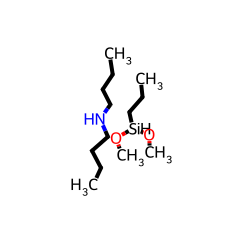 CCCCNCCCC.CCC[SiH](OC)OC